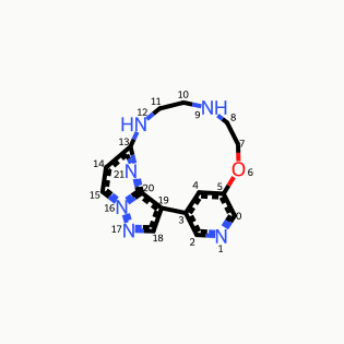 c1ncc2cc1OCCNCCNc1ccn3ncc-2c3n1